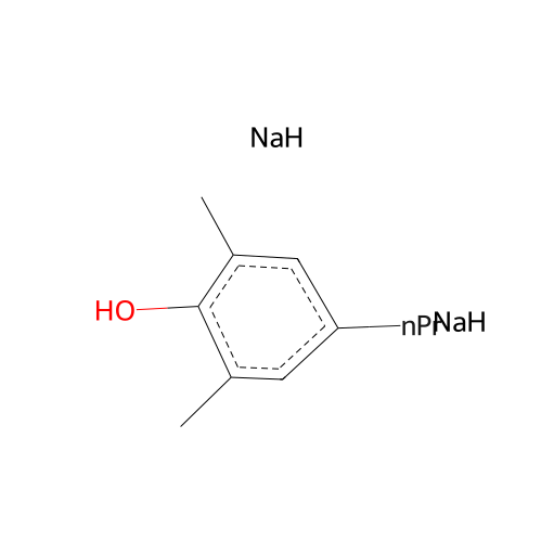 CCCc1cc(C)c(O)c(C)c1.[NaH].[NaH]